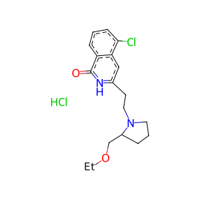 CCOCC1CCCN1CCc1cc2c(Cl)cccc2c(=O)[nH]1.Cl